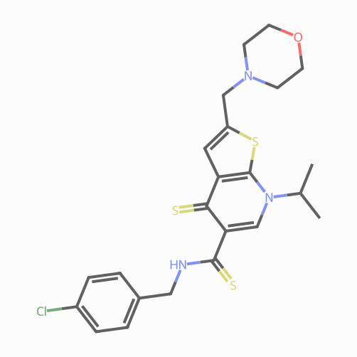 CC(C)n1cc(C(=S)NCc2ccc(Cl)cc2)c(=S)c2cc(CN3CCOCC3)sc21